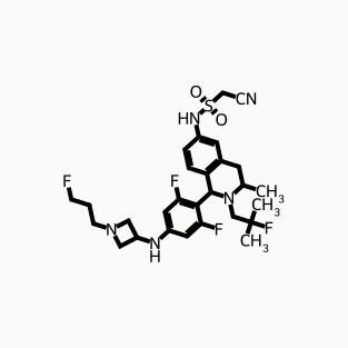 CC1Cc2cc(NS(=O)(=O)CC#N)ccc2C(c2c(F)cc(NC3CN(CCCF)C3)cc2F)N1CC(C)(C)F